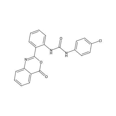 O=C(Nc1ccc(Cl)cc1)Nc1ccccc1-c1nc2ccccc2c(=O)o1